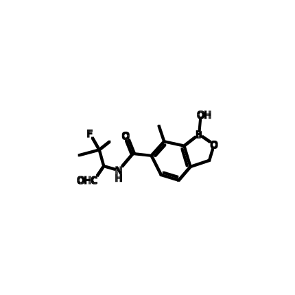 Cc1c(C(=O)NC(C=O)C(C)(C)F)ccc2c1B(O)OC2